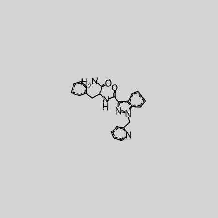 NC(=O)C(Cc1ccccc1)NC(=O)c1nn(Cc2ccccn2)c2ccccc12